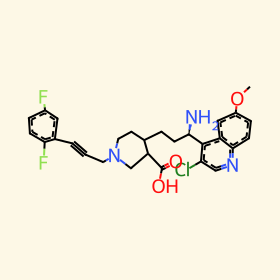 COc1ccc2ncc(Cl)c([C@H](N)CCC3CCN(CC#Cc4cc(F)ccc4F)CC3C(=O)O)c2c1